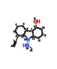 C#Cc1cccc2c3c(O)cccc3n(NC)c12